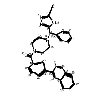 Cc1nnc([C@@H](c2ccccc2)N2CCN(C(=O)c3cccc(-c4cc5ccccc5cn4)c3)CC2)o1